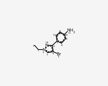 CCn1cc(Br)c(-c2ccc(N)cc2)n1